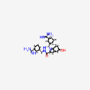 N=C(N)c1cccc(CNC(=O)c2cc3cc(O)ccc3n2Cc2cccc(C(=N)N)c2)c1